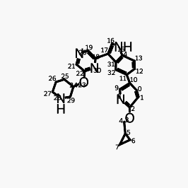 c1cc(OCC2CC2)ncc1-c1ccc2[nH]cc(-c3cncc(OC4CCCNC4)n3)c2c1